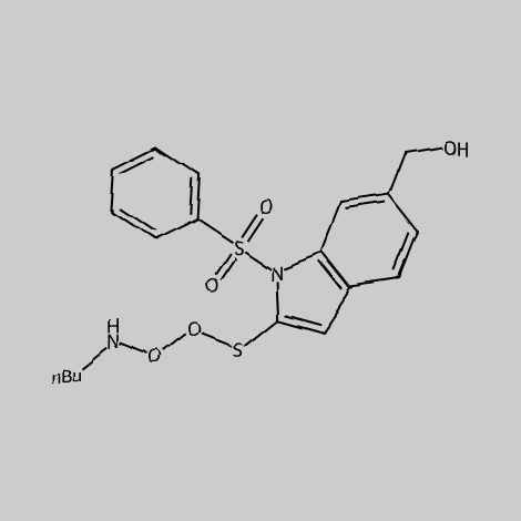 CCCCNOOSc1cc2ccc(CO)cc2n1S(=O)(=O)c1ccccc1